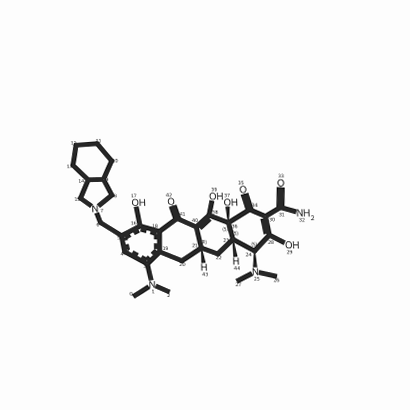 CN(C)c1cc(CN2CC3CCCCC3C2)c(O)c2c1C[C@H]1C[C@H]3[C@H](N(C)C)C(O)=C(C(N)=O)C(=O)[C@@]3(O)C(O)=C1C2=O